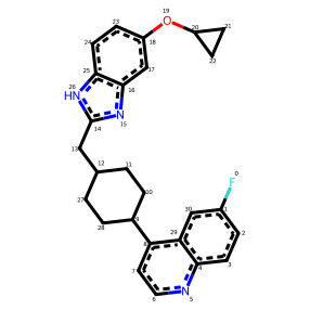 Fc1ccc2nccc(C3CCC(Cc4nc5cc(OC6CC6)ccc5[nH]4)CC3)c2c1